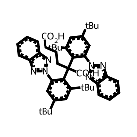 CC(C)(C)c1cc(-n2nc3ccccc3n2)c(C(CCCC(=O)O)(C(=O)O)c2c(-n3nc4ccccc4n3)cc(C(C)(C)C)cc2C(C)(C)C)c(C(C)(C)C)c1